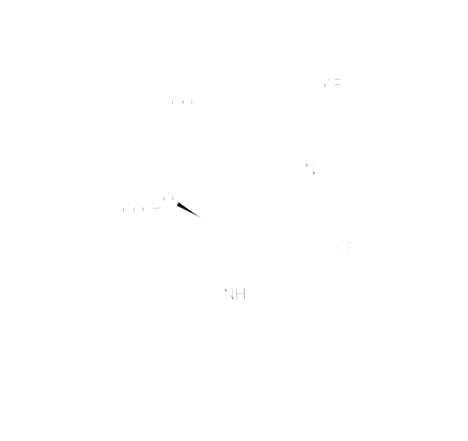 O=C(O)CCC(=O)O.O[C@@H](c1cc(C(F)(F)F)nc2c(C(F)(F)F)cccc12)[C@H]1CCCCN1